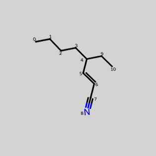 CCCCC(C=CC#N)CC